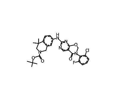 CC(C)(C)OC(=O)N1Cc2cc(Nc3ncc4c(n3)OCN(c3c(F)cccc3Cl)C4=O)ccc2C(C)(C)C1